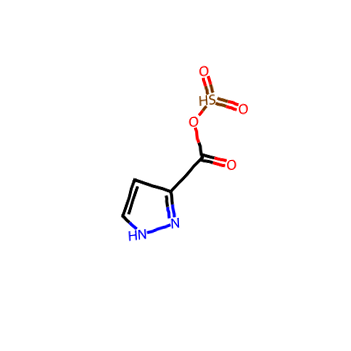 O=C(O[SH](=O)=O)c1cc[nH]n1